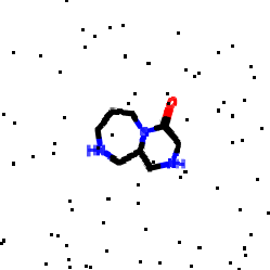 O=C1CNCC2CNCCCN12